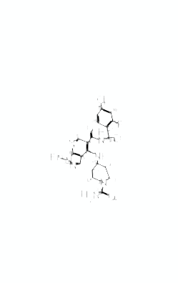 CC[C@@H](NC(=O)c1cnc2c(cnn2CC)c1NC1CCN(C(N)=O)CC1)c1ccc(Cl)cc1F